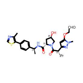 Cc1ncsc1-c1ccc([C@H](C)NC(=O)[C@@H]2C[C@@H](O)CN2C(=O)[C@H](c2cc(OCC=O)n(C)n2)C(C)C)cc1